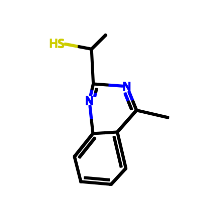 Cc1nc(C(C)S)nc2ccccc12